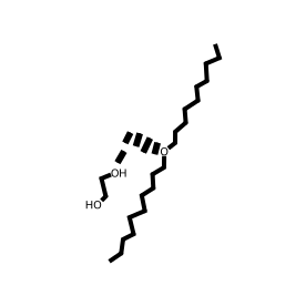 C=C.C=C.C=C.C=C.C=C.CCCCCCCCCCOCCCCCCCCCC.OCCO